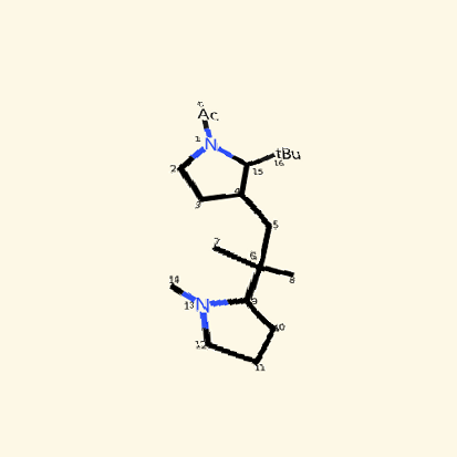 CC(=O)N1CCC(CC(C)(C)C2CCCN2C)C1C(C)(C)C